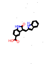 O=C1Nc2ccc(C(=O)O)cc2/C1=C/c1cc2ccccc2[nH]1